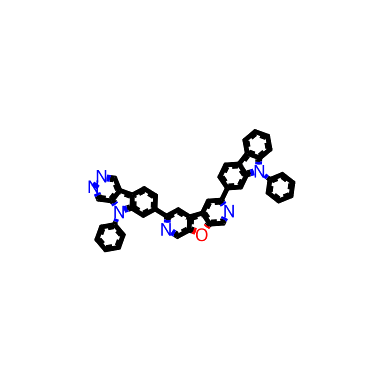 c1ccc(-n2c3ccccc3c3ccc(-c4cc5c(cn4)oc4cnc(-c6ccc7c8cnncc8n(-c8ccccc8)c7c6)cc45)cc32)cc1